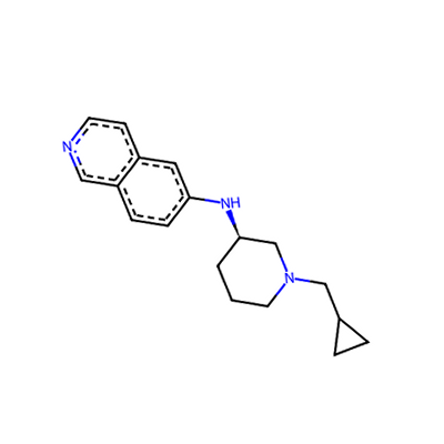 c1cc2cc(N[C@@H]3CCCN(CC4CC4)C3)ccc2cn1